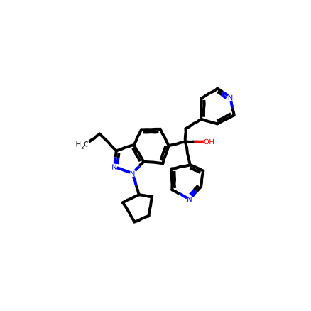 CCc1nn(C2CCCC2)c2cc(C(O)(Cc3ccncc3)c3ccncc3)ccc12